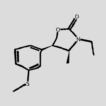 CCN1C(=O)O[C@H](c2cccc(SC)c2)[C@@H]1C